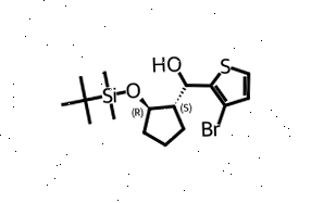 CC(C)(C)[Si](C)(C)O[C@@H]1CCC[C@H]1C(O)c1sccc1Br